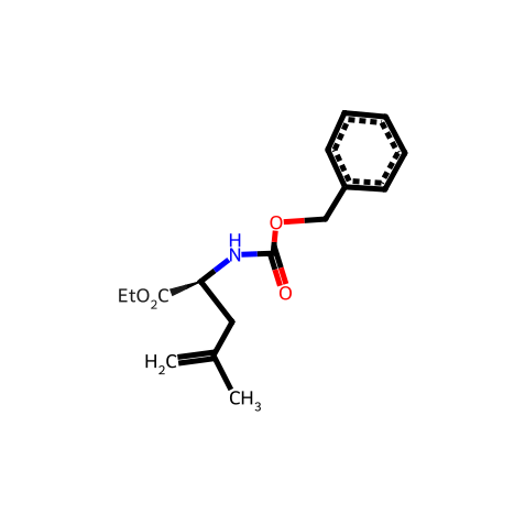 C=C(C)C[C@H](NC(=O)OCc1ccccc1)C(=O)OCC